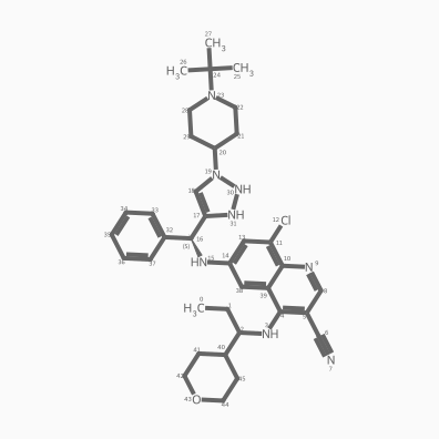 CCC(Nc1c(C#N)cnc2c(Cl)cc(N[C@H](C3=CN(C4CCN(C(C)(C)C)CC4)NN3)c3ccccc3)cc12)C1CCOCC1